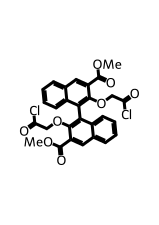 COC(=O)c1cc2ccccc2c(-c2c(OCC(=O)Cl)c(C(=O)OC)cc3ccccc23)c1OCC(=O)Cl